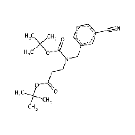 CC(C)(C)OC(=O)CCN(Cc1cccc(C#N)c1)C(=O)OC(C)(C)C